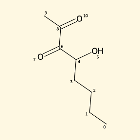 CCCCC(O)C(=O)C(C)=O